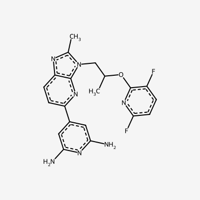 Cc1nc2ccc(-c3cc(N)nc(N)c3)nc2n1CC(C)Oc1nc(F)ccc1F